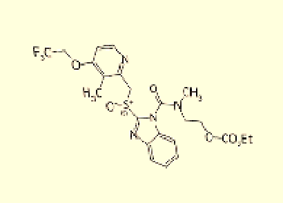 CCOC(=O)OCCN(C)C(=O)n1c([S@+]([O-])Cc2nccc(OCC(F)(F)F)c2C)nc2ccccc21